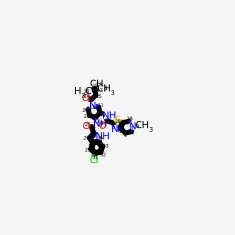 CN1CCc2nc(C(=O)NC3CN(C(=O)CC(C)(C)C)CCC3NC(=O)c3cc4cc(Cl)ccc4[nH]3)sc2C1